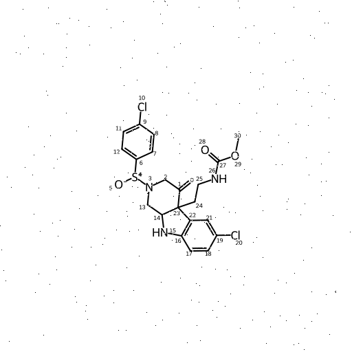 C=C1CN([S+]([O-])c2ccc(Cl)cc2)CC2Nc3ccc(Cl)cc3C12CCNC(=O)OC